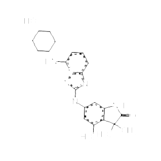 Cc1cc(Nc2nc3cccc(N[C@H]4CC[C@@H](O)CC4)n3n2)cc2c1C(C)(C)C(=O)N2